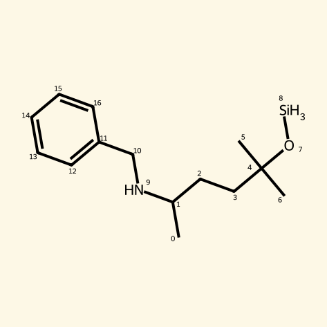 CC(CCC(C)(C)O[SiH3])NCc1ccccc1